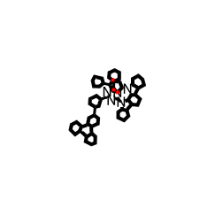 c1ccc(-c2ccc(-n3c4ccccc4c4ccc5c6ccccc6n(-c6nc(-c7ccccc7)nc(-c7cccc(-c8ccc9c%10ccccc%10c%10ccccc%10c9c8)c7)n6)c5c43)cc2)cc1